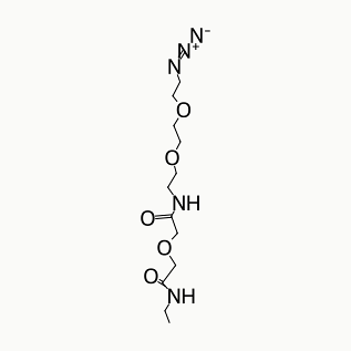 CCNC(=O)COCC(=O)NCCOCCOCCN=[N+]=[N-]